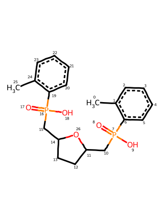 Cc1ccccc1P(=O)(O)CC1CCC(CP(=O)(O)c2ccccc2C)O1